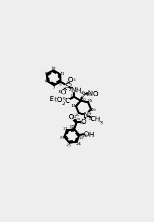 CCOC(=O)C(NS(=O)(=O)c1ccccc1)C1(SN=O)CC[N+](C)(OC(=O)c2ccccc2O)CC1